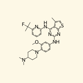 COc1cc(Nc2nc(Nc3cccc(C(C)(C)F)n3)c3c(C)csc3n2)ccc1N1CCC(N(C)C)CC1